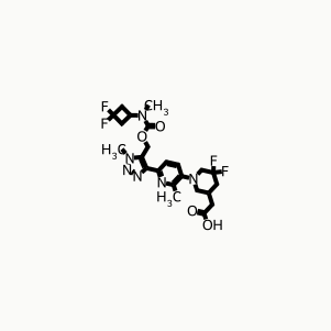 Cc1nc(-c2nnn(C)c2COC(=O)N(C)C2CC(F)(F)C2)ccc1N1CC(CC(=O)O)CC(F)(F)C1